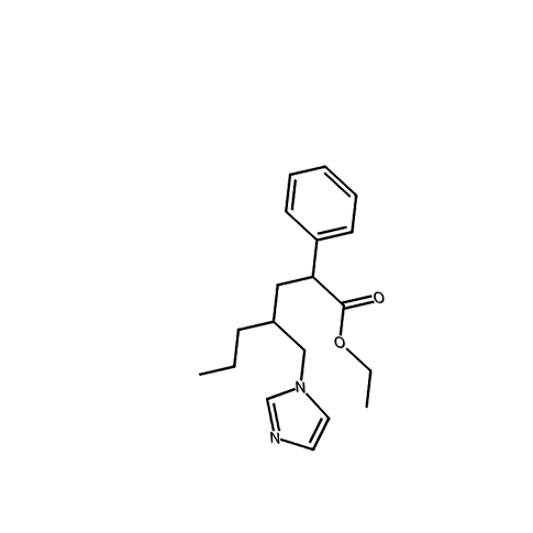 CCCC(CC(C(=O)OCC)c1ccccc1)Cn1ccnc1